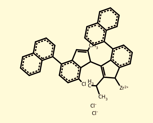 CC1=Cc2c(-c3cccc4ccccc34)ccc(Cl)c2C1C1=C(C(C)C)[CH]([Zr+2])c2cccc(-c3cccc4ccccc34)c21.[Cl-].[Cl-]